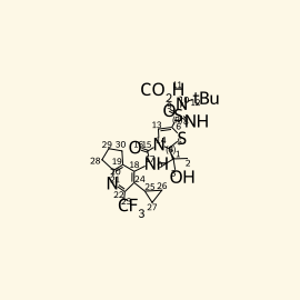 CC(C)(O)[C@@H]1SC([S@@](=N)(=O)N(C(=O)O)C(C)(C)C)=CN1C(=O)Nc1c2c(nc(C(F)(F)F)c1C1CC1)CCC2